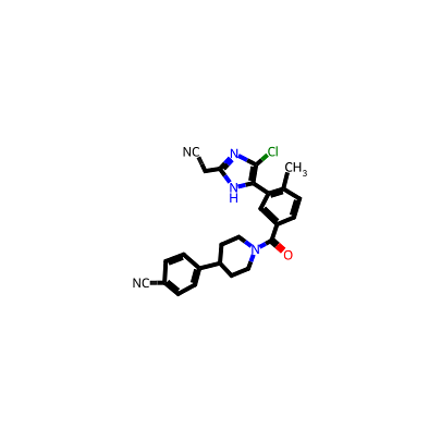 Cc1ccc(C(=O)N2CCC(c3ccc(C#N)cc3)CC2)cc1-c1[nH]c(CC#N)nc1Cl